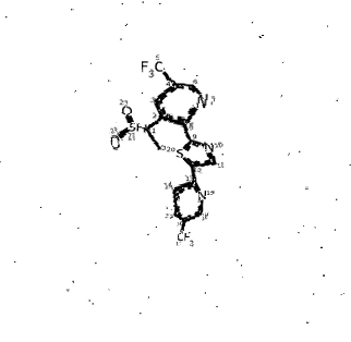 CC(c1cc(C(F)(F)F)cnc1-c1ncc(-c2ccc(C(F)(F)F)cn2)s1)[SH](=O)=O